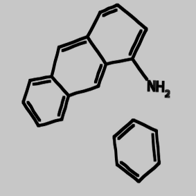 Nc1cccc2cc3ccccc3cc12.c1ccccc1